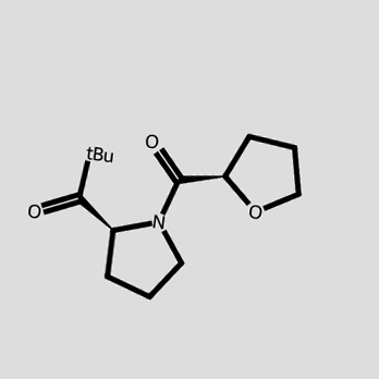 CC(C)(C)C(=O)[C@@H]1CCCN1C(=O)[C@H]1CCCO1